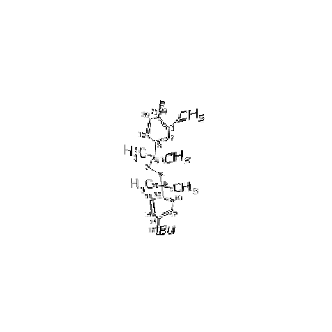 Cc1cc(C(C)(C)CCC(C)(C)c2ccc(C(C)(C)C)cc2)ccc1F